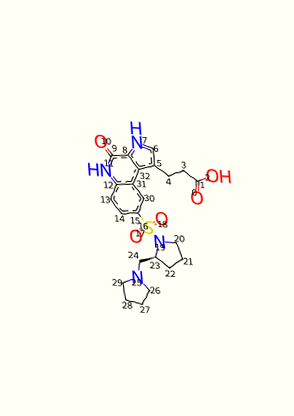 O=C(O)CCc1c[nH]c2c(=O)[nH]c3ccc(S(=O)(=O)N4CCC[C@H]4CN4CCCC4)cc3c12